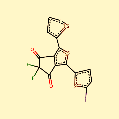 O=C1c2c(-c3cccs3)sc(-c3ccc(I)s3)c2C(=O)C1(F)F